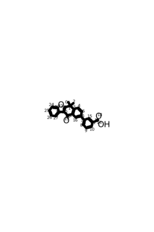 CC1(C)c2ccc(-c3cccc(C(=O)O)c3)cc2C(=O)c2c1oc1ccccc21